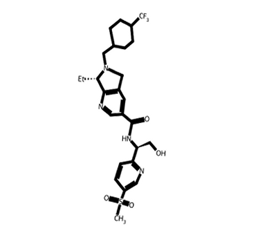 CC[C@H]1c2ncc(C(=O)N[C@@H](CO)c3ccc(S(C)(=O)=O)cn3)cc2CN1CC1CCC(C(F)(F)F)CC1